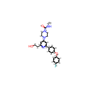 CC(C)NC(=O)N1CCN(c2cc(CCO)nc(-c3ccc(Oc4ccc(F)cc4)cc3)c2)CC1